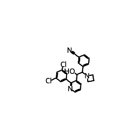 N#Cc1cccc(C(C(O)c2cccnc2-c2cc(Cl)cc(Cl)c2)N2CCC2)c1